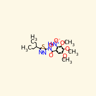 CCC(CC)c1nnc(NC(=O)c2cc(OC)c(OC)c(OC)c2[N+](=O)[O-])s1